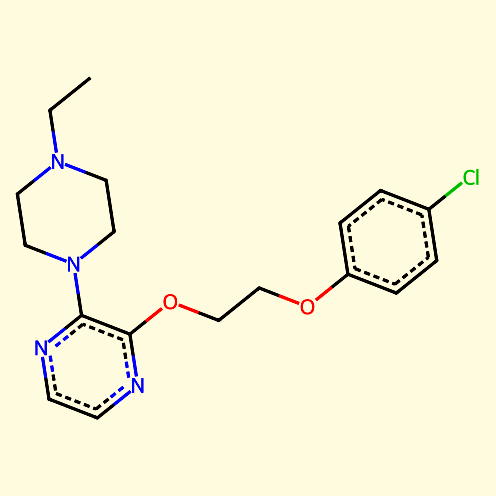 CCN1CCN(c2nccnc2OCCOc2ccc(Cl)cc2)CC1